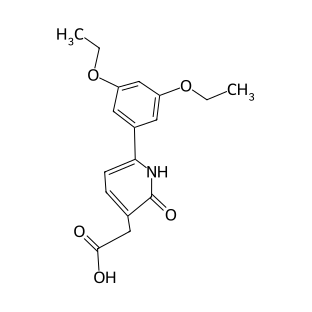 CCOc1cc(OCC)cc(-c2ccc(CC(=O)O)c(=O)[nH]2)c1